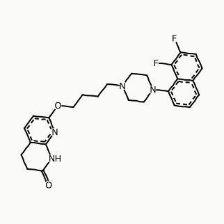 O=C1CCc2ccc(OCCCCN3CCN(c4cccc5ccc(F)c(F)c45)CC3)nc2N1